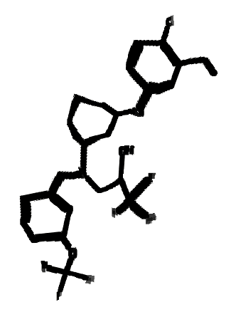 CCc1cc(OC2CCCC(N(Cc3cccc(OC(F)(F)F)c3)CC(O)C(F)(F)F)C2)ccc1Cl